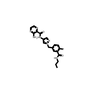 CCCNC(=O)c1cc(Cn2cc(NC(=O)c3nccnc3N)cn2)ccc1F